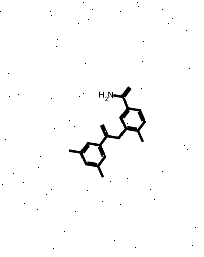 C=C(N)c1ccc(C)c(CC(=C)c2cc(C)cc(C)c2)c1